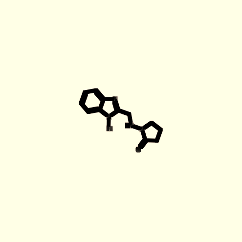 CCn1c(CNN2CCCC2=O)nc2ccccc21